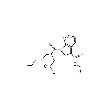 CCCCC[C@@H](CC(=O)O)C(=O)N1CC(C(=O)OCC)c2ccccc21